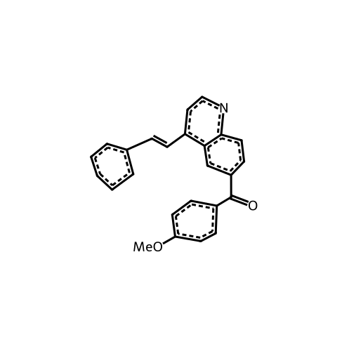 COc1ccc(C(=O)c2ccc3nccc(C=Cc4ccccc4)c3c2)cc1